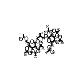 C=C(COC1OC(COC(C)=O)[C@@H](OC(C)=O)C(OC(C)=O)C1OC(C)=O)COC1OC(COC(C)=O)[C@@H](OC(C)=O)C(OC(C)=O)[C@H]1OC(C)=O